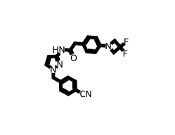 N#Cc1ccc(Cn2ccc(NC(=O)Cc3ccc(N4CC(F)(F)C4)cc3)n2)cc1